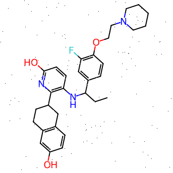 CCC(Nc1ccc(O)nc1C1CCc2cc(O)ccc2C1)c1ccc(OCCN2CCCCC2)c(F)c1